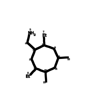 CCC1CC(CN)C(CC)CC(C)CC1C